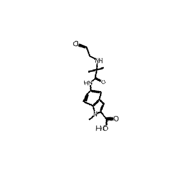 Cn1c(C(=O)O)cc2cc(NC(=O)C(C)(C)NCC=O)ccc21